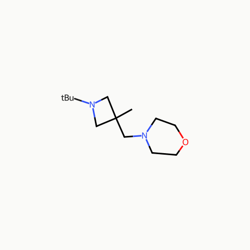 CC1(CN2CCOCC2)CN(C(C)(C)C)C1